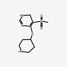 CS(=O)(=O)C1=C(OC2CCNCC2)N=CN[CH]1